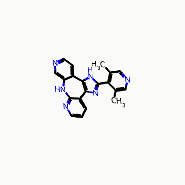 Cc1cncc(C)c1-c1nc2c([nH]1)-c1ccncc1Nc1ncccc1-2